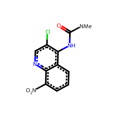 CNC(=O)Nc1c(Cl)cnc2c([N+](=O)[O-])cccc12